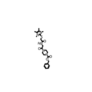 Cc1c(C)[n+](C)c(SCC(=O)NCC(=O)N2CCN(C(=O)OCc3ccccc3)CC2)n1C